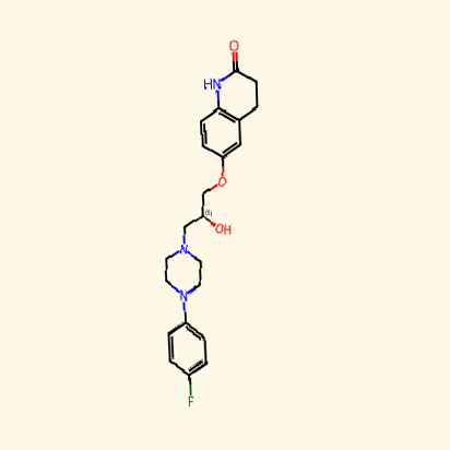 O=C1CCc2cc(OC[C@@H](O)CN3CCN(c4ccc(F)cc4)CC3)ccc2N1